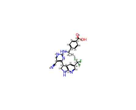 C[C@@H](Nc1ncc(C#N)c(C2CNc3ncc(C(F)(F)F)cc32)n1)c1ccc(C(=O)O)cc1